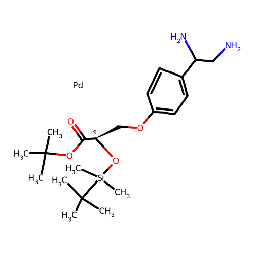 CC(C)(C)OC(=O)[C@@H](COc1ccc(C(N)CN)cc1)O[Si](C)(C)C(C)(C)C.[Pd]